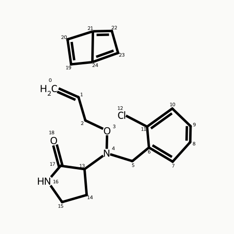 C=CCON(Cc1ccccc1Cl)C1CCNC1=O.c1cc2ccc1-2